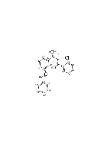 CC(CC(=O)c1ccccc1Cl)c1cccc(OCc2ccccc2)c1